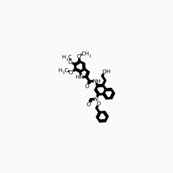 COc1cc2cc(C(=O)Nc3cc(N(C=O)OCc4ccccc4)c4ccccc4c3CCO)[nH]c2c(OC)c1OC